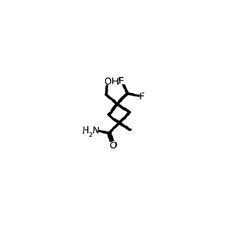 CC1(C(N)=O)CC(CO)(C(F)F)C1